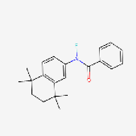 CC1(C)CCC(C)(C)c2cc(N(F)C(=O)c3ccccc3)ccc21